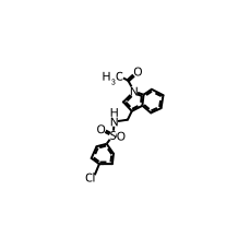 CC(=O)n1cc(CNS(=O)(=O)c2ccc(Cl)cc2)c2ccccc21